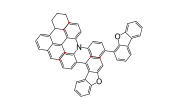 c1ccc(N(c2ccc(-c3cccc4c3oc3ccccc34)cc2)c2ccccc2-c2cccc3oc4ccccc4c23)c(-c2cccc3cccc(C4CCCCC4)c23)c1